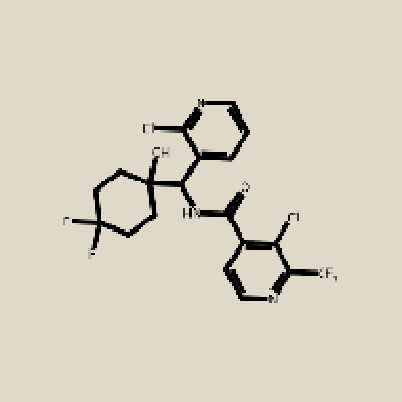 O=C(NC(c1cccnc1Cl)C1(O)CCC(F)(F)CC1)c1ccnc(C(F)(F)F)c1Cl